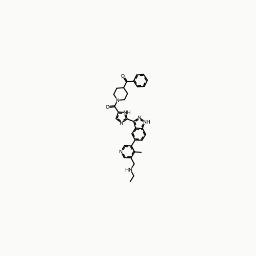 CCNCc1cncc(-c2ccc3[nH]nc(-c4ncc(C(=O)N5CCC(C(=O)c6ccccc6)CC5)[nH]4)c3c2)c1C